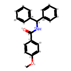 COc1ccc(C(=O)NC(c2ccccc2)c2ccccc2)cc1